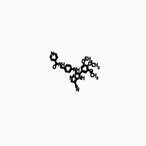 COc1cc(-c2[nH]c3c(C#N)cnn3c2Nc2ccc(CNC(=O)c3ccncc3)cc2)cc(OC)c1OC